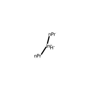 CC[CH2][In+][CH2]CC.[H-]